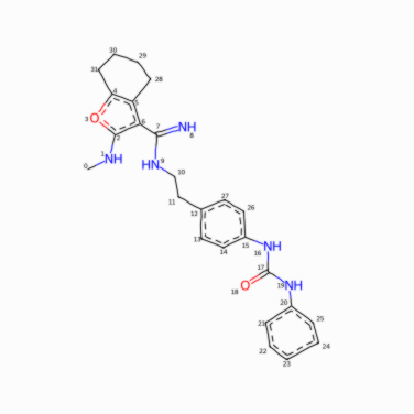 CNc1oc2c(c1C(=N)NCCc1ccc(NC(=O)Nc3ccccc3)cc1)CCCC2